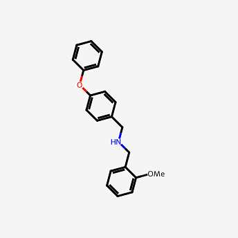 COc1ccccc1CNCc1ccc(Oc2ccccc2)cc1